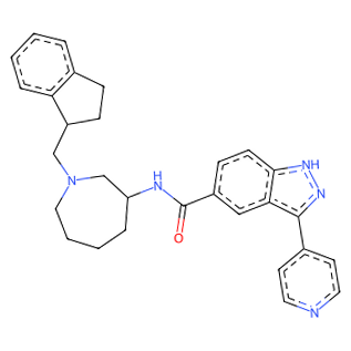 O=C(NC1CCCCN(CC2CCc3ccccc32)C1)c1ccc2[nH]nc(-c3ccncc3)c2c1